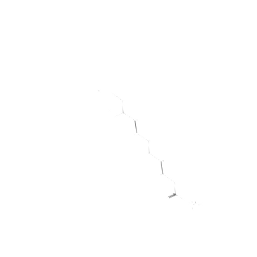 CCCCCCCCCC(O)CCCCCCCC(=O)OC